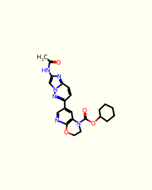 CC(=O)Nc1cn2nc(-c3cnc4c(c3)N(C(=O)OC3CCCCC3)CCO4)ccc2n1